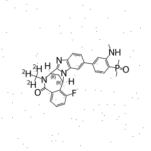 [2H]C([2H])([2H])N1C(=O)c2cccc(F)c2[C@H]2C[C@@H]1c1nc3ccc(-c4ccc(P(C)(C)=O)c(NC)c4)cc3n12